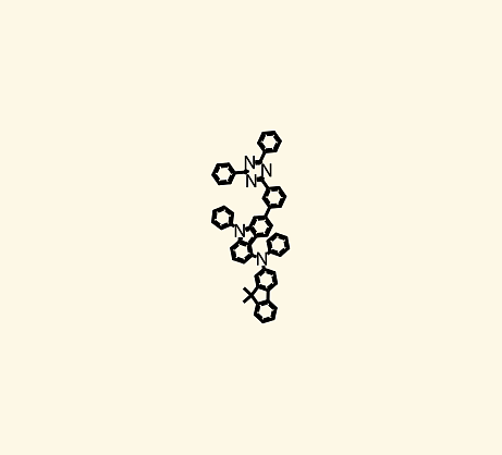 CC1(C)c2ccccc2-c2ccc(N(c3ccccc3)c3cccc4c3c3ccc(-c5cccc(-c6nc(-c7ccccc7)nc(-c7ccccc7)n6)c5)cc3n4-c3ccccc3)cc21